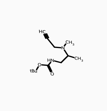 C#CCN(C)C(C)CNC(=O)OC(C)(C)C